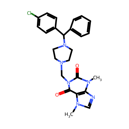 Cn1cnc2c1c(=O)n(CN1CCN(C(c3ccccc3)c3ccc(Cl)cc3)CC1)c(=O)n2C